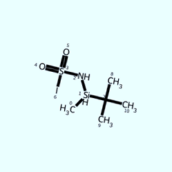 C[SiH](NS(=O)(=O)I)C(C)(C)C